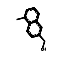 Cc1cccc2cc(CO)ccc12